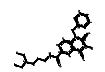 CCN(CC)CCCNC(=O)c1nnc2c(n1)c(=O)n(C)c(=O)n2Cc1cccnc1